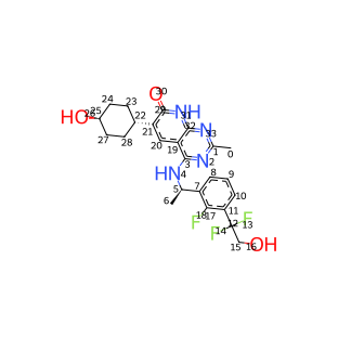 Cc1nc(N[C@H](C)c2cccc(C(F)(F)CO)c2F)c2cc([C@H]3CC[C@H](O)CC3)c(=O)[nH]c2n1